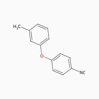 [C-]#[N+]c1ccc(Oc2cccc(C)c2)cc1